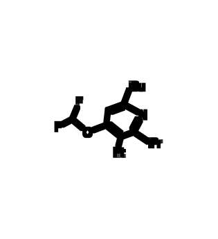 CCc1c(OC(F)F)cc(C(C)CC)nc1C(C)C